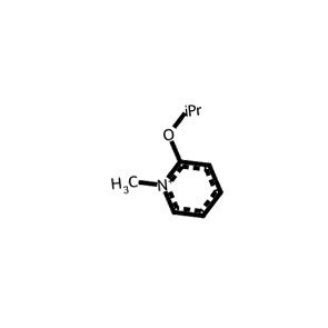 CC(C)Oc1cccc[n+]1C